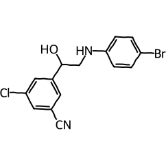 N#Cc1cc(Cl)cc(C(O)CNc2ccc(Br)cc2)c1